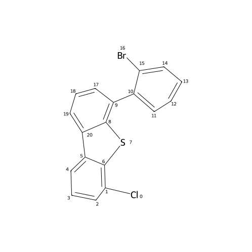 Clc1cccc2c1sc1c(-c3ccccc3Br)cccc12